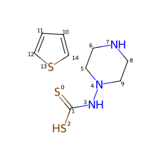 S=C(S)NN1CCNCC1.c1ccsc1